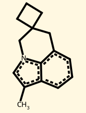 Cc1cn2c3c(cccc13)CC1(CCC1)C2